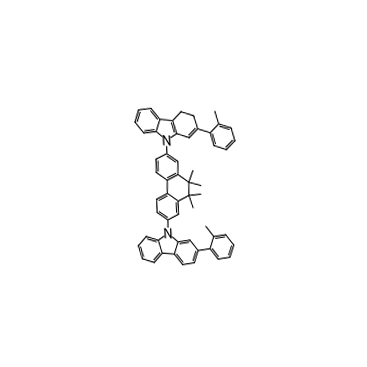 Cc1ccccc1C1=Cc2c(c3ccccc3n2-c2ccc3c(c2)C(C)(C)C(C)(C)c2cc(-n4c5ccccc5c5ccc(-c6ccccc6C)cc54)ccc2-3)CC1